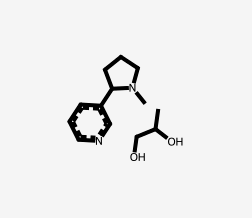 CC(O)CO.CN1CCCC1c1cccnc1